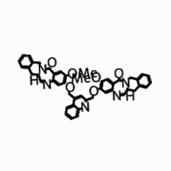 COc1cc2c(cc1OCc1cc(COc3cc4c(cc3OC)C(=O)N3Cc5ccccc5C[C@H]3C=N4)c3ccccc3n1)N=C[C@@H]1Cc3ccccc3CN1C2=O